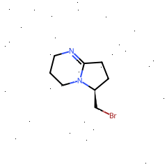 BrC[C@@H]1CCC2=NCCCN21